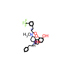 CN(C(=O)/C=C/c1cccc(C(F)(F)F)c1)C1CC[C@@]2(O)[C@H]3Cc4ccc(O)c5c4[C@@]2(CCN3CCc2ccccc2)C1O5